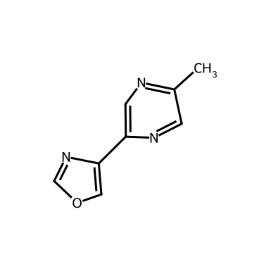 Cc1cnc(-c2cocn2)cn1